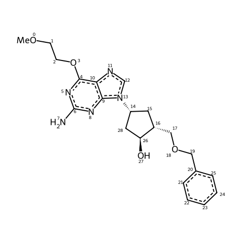 COCCOc1nc(N)nc2c1ncn2[C@@H]1C[C@H](COCc2ccccc2)[C@@H](O)C1